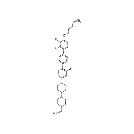 C=CCCCOc1ccc(-c2ccc(-c3ccc(C4CCC(C5CCC(C=C)CC5)CC4)cc3F)cc2)c(F)c1F